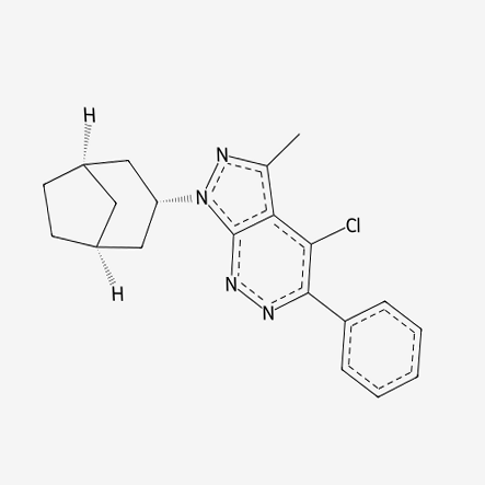 Cc1nn([C@H]2C[C@@H]3CC[C@@H](C3)C2)c2nnc(-c3ccccc3)c(Cl)c12